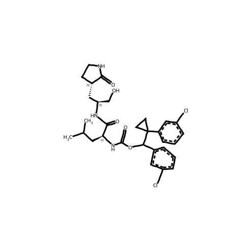 CC(C)C[C@H](NC(=O)OC(c1cccc(Cl)c1)C1(c2cccc(Cl)c2)CC1)C(=O)N[C@H](CO)C[C@@H]1CCNC1=O